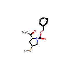 COC(=O)[C@@H]1C[C@H](SC(C)=O)CN1C(=O)OCc1ccccc1